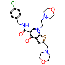 O=C(NCc1ccc(Cl)cc1)c1cn(CCN2CCOCC2)c2sc(CN3CCOCC3)cc2c1=O